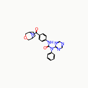 O=C(Nc1ccc(C(=O)N2C3CCC2COC3)cc1)N(c1ccccc1)c1ncncn1